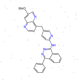 COc1cnc2c(Cc3ccc(Nc4nnc(-c5ccccc5)c5ccccc45)nc3)ccnc2c1